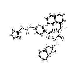 C[C@H](NC(=O)[C@H](Cc1cc2ccccc2[nH]1)NC(=O)c1ccc(CNCc2ncc[nH]2)cc1)c1cccc2ccccc12